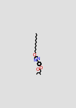 CCCCCCCCCCCCOc1cnc(-c2ccc(OC(=O)CC(C)CC)cc2)nc1